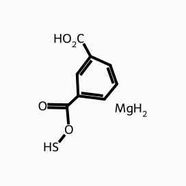 O=C(O)c1cccc(C(=O)OS)c1.[MgH2]